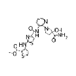 COC(=O)c1sccc1Nc1nc(C(=O)Nc2cccnc2N2CCC(O)(C(N)=O)C2)cs1